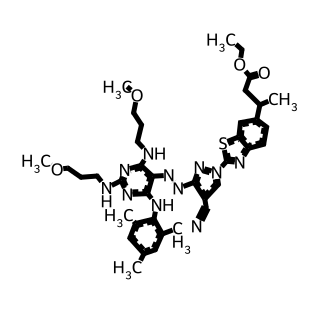 CCOC(=O)CC(C)c1ccc2nc(-n3cc(C#N)c(N=Nc4c(NCCCOC)nc(NCCCOC)nc4Nc4c(C)cc(C)cc4C)n3)sc2c1